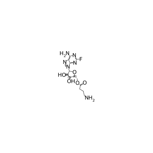 NCCCC(=O)OC[C@H]1OC(n2cnc3c(N)nc(F)nc32)[C@H](O)[C@@H]1O